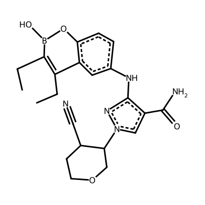 CCC1=C(CC)c2cc(Nc3nn(C4COCCC4C#N)cc3C(N)=O)ccc2OB1O